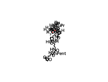 CCCCC[C@H](NC(=O)CCCN1C(=O)C=CC1=O)C(=O)NCCCC(=O)Nc1cc(C[C@@H](CC(C)C(=O)O)NC(=O)c2csc([C@@H](C[C@@H](NC(=O)[C@@H](NC(=O)C(C)(C)N(C)C)[C@@H](C)CC)C(C)C)OC(C)=O)n2)ccc1O